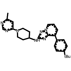 Cc1cc(N2CCC(Nc3nc4c(-c5ccc(C(C)(C)C)cc5)cccn4n3)CC2)ncn1